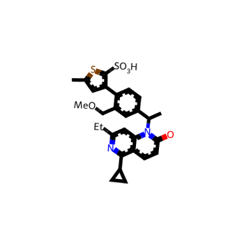 CCc1cc2c(ccc(=O)n2C(C)c2ccc(-c3cc(C)sc3S(=O)(=O)O)c(COC)c2)c(C2CC2)n1